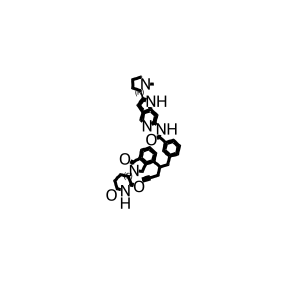 C#CCC(Cc1cccc(C(=O)Nc2cc3[nH]c([C@H]4CCCN4C)cc3cn2)c1)c1cccc2c1CN([C@H]1CCC(=O)NC1=O)C2=O